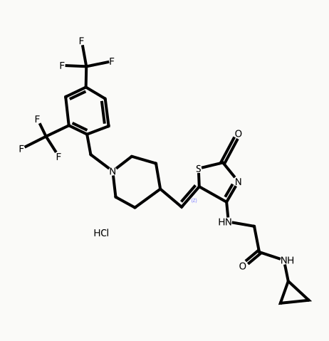 Cl.O=C(CNC1=NC(=O)S/C1=C\C1CCN(Cc2ccc(C(F)(F)F)cc2C(F)(F)F)CC1)NC1CC1